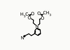 CC(=O)OCCN(CCOC(C)=O)c1cccc(CCC#N)c1